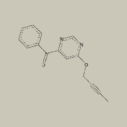 CC#CCOc1cc(C(=O)c2ccccc2)ncn1